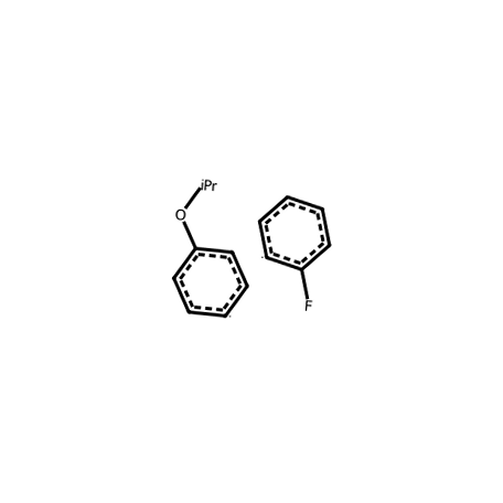 CC(C)Oc1cc[c]cc1.Fc1[c]cccc1